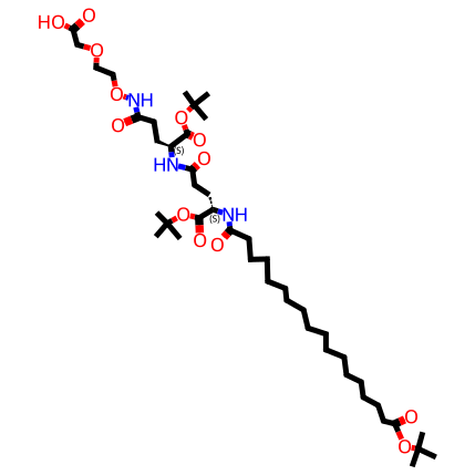 CC(C)(C)OC(=O)CCCCCCCCCCCCCCCCC(=O)N[C@@H](CCC(=O)N[C@@H](CCC(=O)NOCCOCC(=O)O)C(=O)OC(C)(C)C)C(=O)OC(C)(C)C